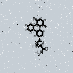 NC(=O)c1nc(-c2cccc(-c3ccccc3-c3cc(F)ccc3F)c2)n[nH]1